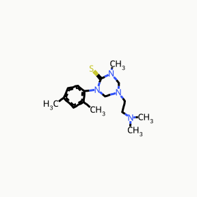 Cc1ccc(N2CN(CCN(C)C)CN(C)C2=S)c(C)c1